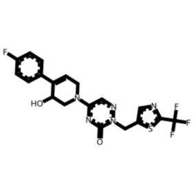 O=c1nc(N2CC=C(c3ccc(F)cc3)C(O)C2)cnn1Cc1cnc(C(F)(F)F)s1